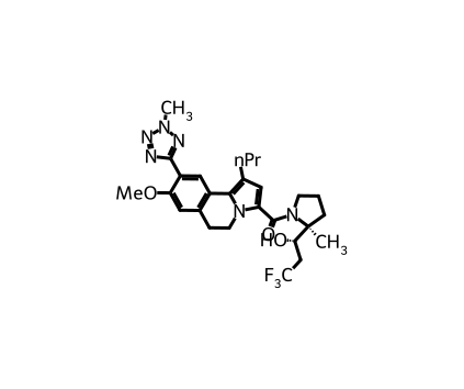 CCCc1cc(C(=O)N2CCC[C@@]2(C)[C@@H](O)CC(F)(F)F)n2c1-c1cc(-c3nnn(C)n3)c(OC)cc1CC2